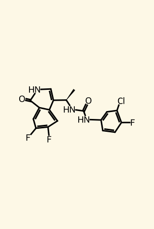 C[C@@H](NC(=O)Nc1ccc(F)c(Cl)c1)c1c[nH]c(=O)c2cc(F)c(F)cc12